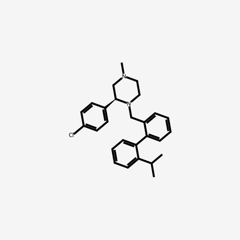 CC(C)c1ccccc1-c1ccccc1CN1CCN(C)C[C@@H]1c1ccc(Cl)cc1